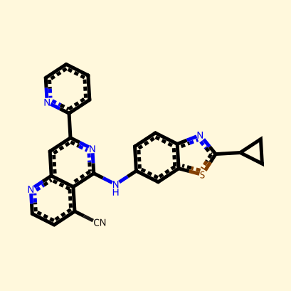 N#Cc1ccnc2cc(-c3ccccn3)nc(Nc3ccc4nc(C5CC5)sc4c3)c12